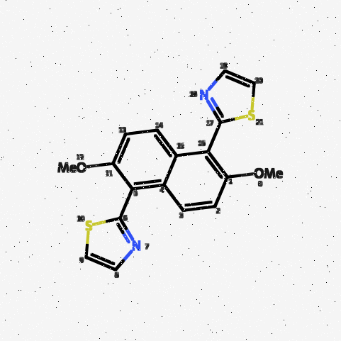 COc1ccc2c(-c3nccs3)c(OC)ccc2c1-c1nccs1